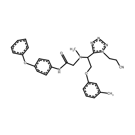 Cc1cccc(OCC(c2nnnn2CCC#N)N(C)CC(=O)Nc2ccc(Oc3ccccc3)cc2)c1